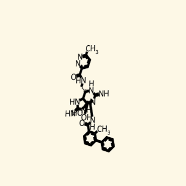 Cc1ccc(C(=O)NC[C@@H]2NC(=N)N3CC(NC(=O)c4cccc(-c5ccccc5)c4C)C(O)(O)C34NC(=N)NC24)nn1